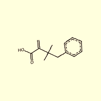 C=C(C(=O)O)C(C)(C)Cc1ccccc1